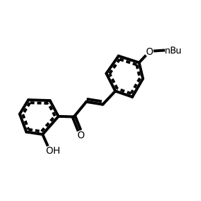 CCCCOc1ccc(C=CC(=O)c2ccccc2O)cc1